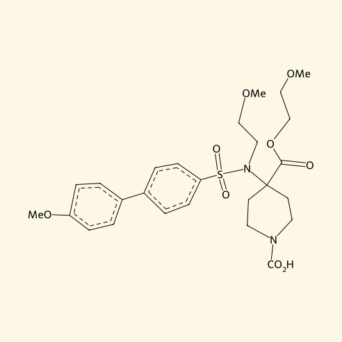 COCCOC(=O)C1(N(CCOC)S(=O)(=O)c2ccc(-c3ccc(OC)cc3)cc2)CCN(C(=O)O)CC1